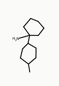 CC1CCC(C2(N)CCCCC2)CC1